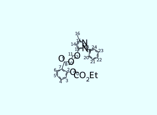 CCOC(=O)Oc1ccccc1C(=O)OCOc1cc(C)nn1-c1ccccc1